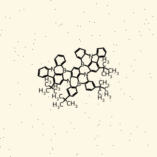 CC(C)(C)c1ccc2c(c1)N1c3cc(C(C)(C)C)c4c5ccccc5n5c4c3B(c3ccccc3-5)c3cc4c5c(c31)B2c1ccc(C(C)(C)C)cc1N5c1cc(C(C)(C)C)c2c3ccccc3n3c2c1B4c1ccccc1-3